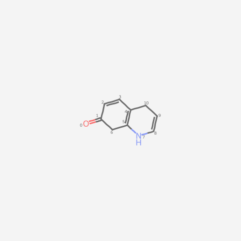 O=C1C=CC2=C(C1)NC=CC2